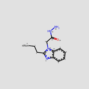 CCCCCCCCCCCc1nc2ccccc2n1CC(=O)NN